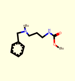 CCCCN(CCCNC(=O)OC(C)(C)C)Cc1ccccc1